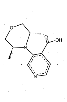 C[C@H]1COC[C@H](C)N1c1cnccc1C(=O)O